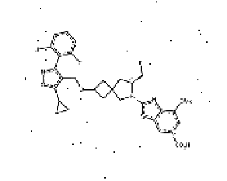 COc1cc(C(=O)O)cc2sc(N3CC4(CC(OCc5c(-c6c(Cl)cccc6Cl)noc5C5CC5)C4)C[C@H]3CF)nc12